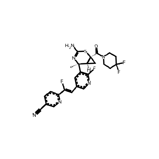 C[C@]1(c2cc(C=C(F)c3ccc(C#N)cn3)cnc2F)N=C(N)S[C@@]2(C(=O)N3CCC(F)(F)CC3)C[C@H]21